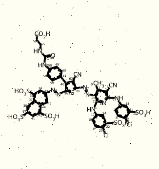 Cc1c(C#N)c(Nc2ccc(Cl)c(S(=O)(=O)O)c2)nc(Nc2ccc(Cl)c(S(=O)(=O)O)c2)c1N=Nc1sc(N=Nc2cc(S(=O)(=O)O)c3cc(S(=O)(=O)O)cc(S(=O)(=O)O)c3c2)c(-c2ccc(NC(=O)NCCC(=O)O)cc2)c1C#N